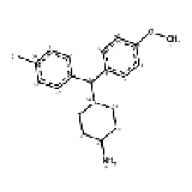 COc1ccc(C(c2ccc(Cl)cc2)N2CCC(N)CC2)cc1